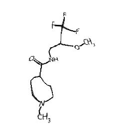 COC(CNC(=O)C1CCN(C)CC1)C(F)(F)F